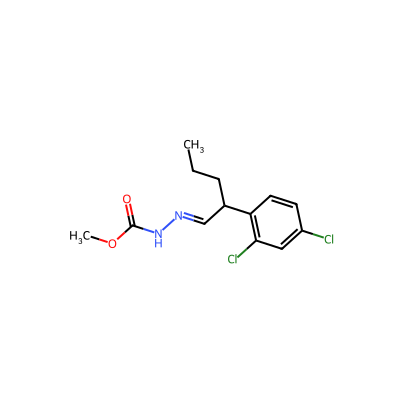 CCCC(C=NNC(=O)OC)c1ccc(Cl)cc1Cl